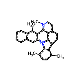 Cc1ccc(C)c2c1c1ccc3cc[n+](C)c4c5c(C)c6ccccc6cc5n2c1c34